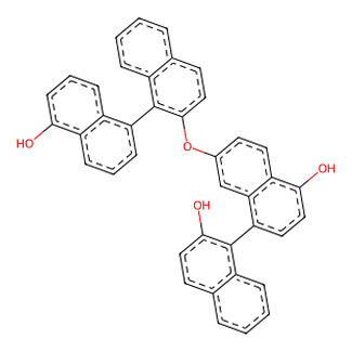 Oc1ccc2ccccc2c1-c1ccc(O)c2ccc(Oc3ccc4ccccc4c3-c3cccc4c(O)cccc34)cc12